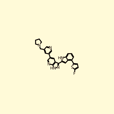 Fc1ccc(-c2cccc3[nH]c(-c4n[nH]c5ncc(-c6cncc(CN7CCCC7)c6)cc45)cc23)s1